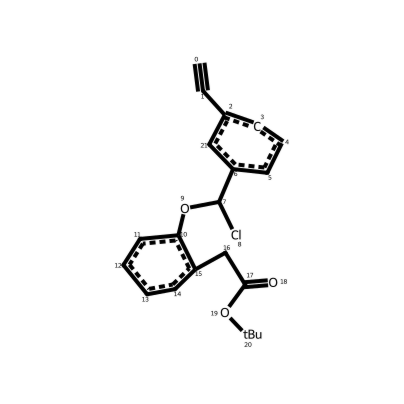 C#Cc1cccc(C(Cl)Oc2ccccc2CC(=O)OC(C)(C)C)c1